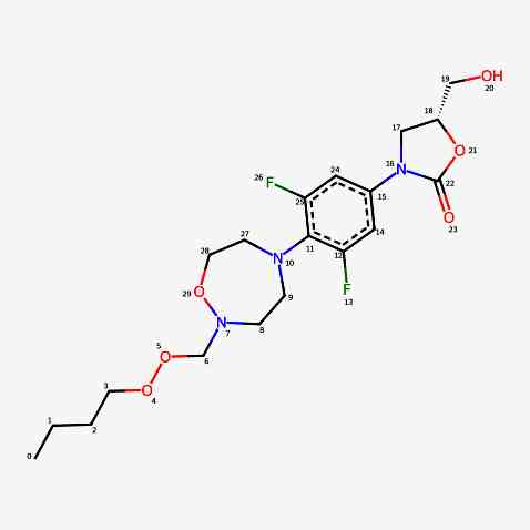 CCCCOOCN1CCN(c2c(F)cc(N3C[C@H](CO)OC3=O)cc2F)CCO1